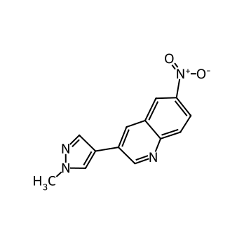 Cn1cc(-c2cnc3ccc([N+](=O)[O-])cc3c2)cn1